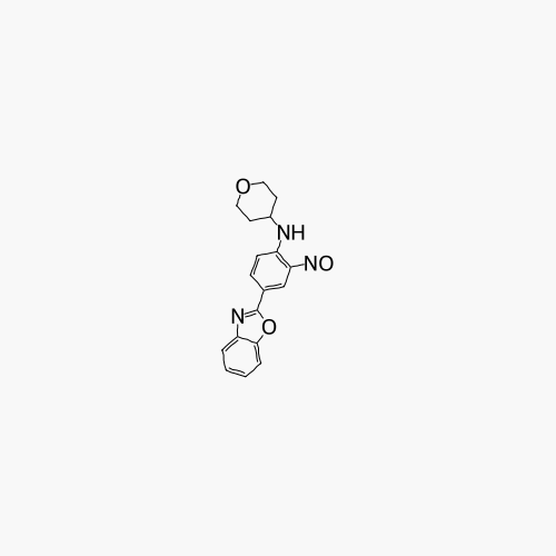 O=Nc1cc(-c2nc3ccccc3o2)ccc1NC1CCOCC1